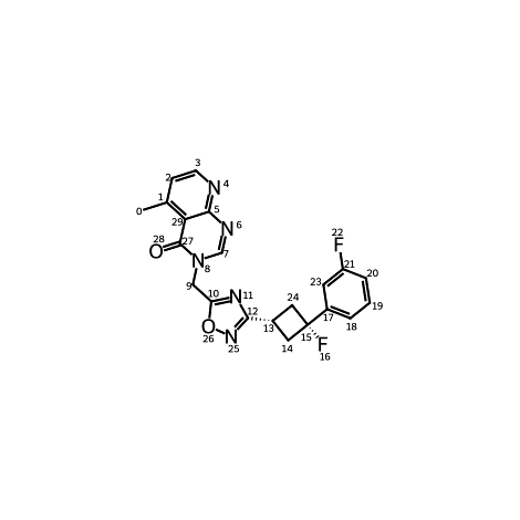 Cc1ccnc2ncn(Cc3nc([C@H]4C[C@](F)(c5cccc(F)c5)C4)no3)c(=O)c12